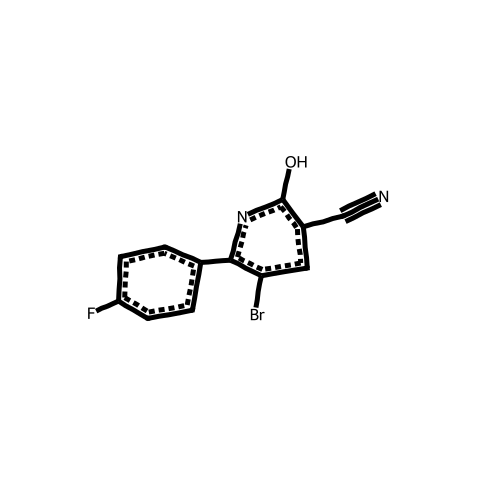 N#Cc1cc(Br)c(-c2ccc(F)cc2)nc1O